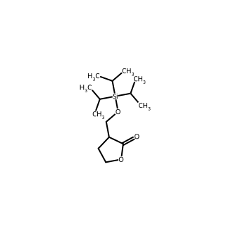 CC(C)[Si](OCC1CCOC1=O)(C(C)C)C(C)C